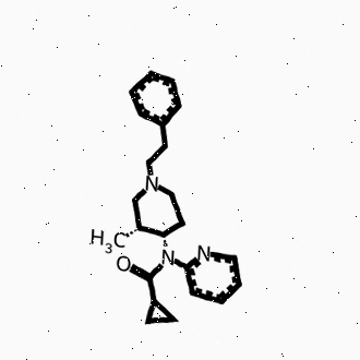 C[C@@H]1CN(CCc2ccccc2)CC[C@@H]1N(C(=O)C1CC1)c1ccccn1